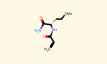 C=CC(=O)N[C@@H](CCSC)C(N)=O